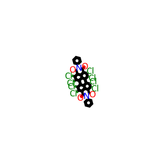 O=C1c2c(Cl)c(Cl)c3c4c(Cl)c(Cl)c5c6c(c(Cl)c(Cl)c(c7c(Cl)c(Cl)c(c2c37)C(=O)N1c1ccccc1)c64)C(=O)N(c1ccccc1)C5=O